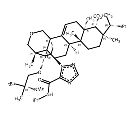 CN[C@@](C)(CO[C@H]1[C@H](n2ncnc2C(=O)NC(C)C)C[C@@]23COC[C@]1(C)[C@@H]2CC[C@H]1C3=CC[C@@]2(C)[C@H](C(=O)O)[C@@](C)([C@H](C)C(C)C)CC[C@]12C)C(C)(C)C